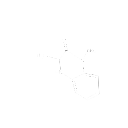 CCCCN1C(=O)C(C)Nc2ccccc21